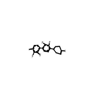 Cc1ccc(-c2ccc(C3CCC(I)CC3)c(F)c2F)c(F)c1F